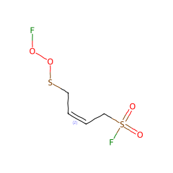 O=S(=O)(F)C/C=C\CSOOF